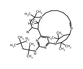 CC(C)(C)CC(C)(C)Nc1nc2nc(n1)N1C(C)(C)CC(CC1(C)C)/N=C\CCCCCN1C(C)(C)CC([N])C2C1(C)C